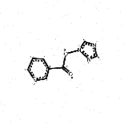 O=C(On1cncn1)c1cccnc1